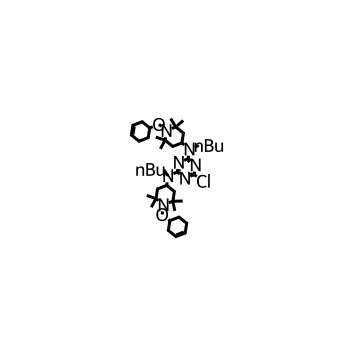 CCCCN(c1nc(Cl)nc(N(CCCC)C2CC(C)(C)N(OC3CC=CCC3)C(C)(C)C2)n1)C1CC(C)(C)N(OC2CC=CCC2)C(C)(C)C1